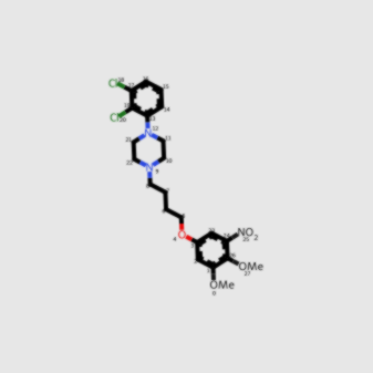 COc1cc(OCCCCN2CCN(c3cccc(Cl)c3Cl)CC2)cc([N+](=O)[O-])c1OC